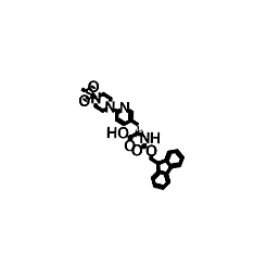 CS(=O)(=O)N1CCN(c2ccc(C[C@H](NC(=O)OCC3c4ccccc4-c4ccccc43)C(=O)O)cn2)CC1